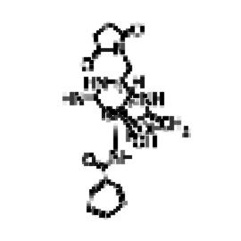 C=C1N[C@H]2[C@H](CN3C(=O)CCC3=O)NC(=N)N3C[C@H](NC(=O)c4ccccc4)C(O)(O)[C@]23N1